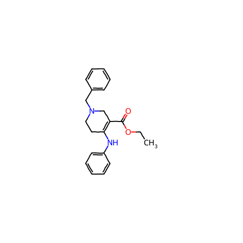 CCOC(=O)C1=C(Nc2ccccc2)CCN(Cc2ccccc2)C1